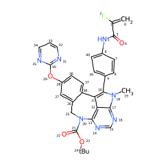 C=C(F)C(=O)Nc1ccc(-c2c3c4c(ncnc4n2C)N(C(=O)OC(C)(C)C)Cc2cc(Oc4ncccn4)ccc2-3)cc1